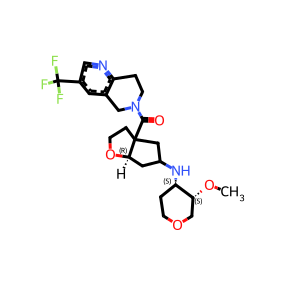 CO[C@@H]1COCC[C@@H]1NC1C[C@H]2OCCC2(C(=O)N2CCc3ncc(C(F)(F)F)cc3C2)C1